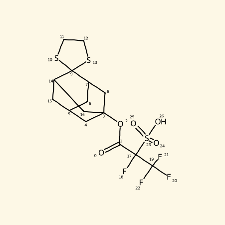 O=C(OC12CC3CC(C1)C1(SCCS1)C(C3)C2)C(F)(C(F)(F)F)S(=O)(=O)O